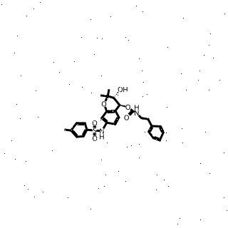 Cc1ccc(S(=O)(=O)Nc2ccc3c(c2)OC(C)(C)[C@H](O)[C@H]3OC(=O)NCCc2ccccc2)cc1